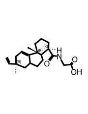 C=C[C@@]1(C)CC=C2C(CCC3[C@](C)(C(=O)NCC(=O)O)CCC[C@@]23C)C1